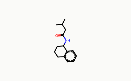 CC(C)CC(=O)NC1CCCc2ccccc21